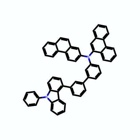 c1ccc(-n2c3ccccc3c3c(-c4cccc(-c5cccc(N(c6ccc7c(ccc8ccccc87)c6)c6cc7ccccc7c7ccccc67)c5)c4)cccc32)cc1